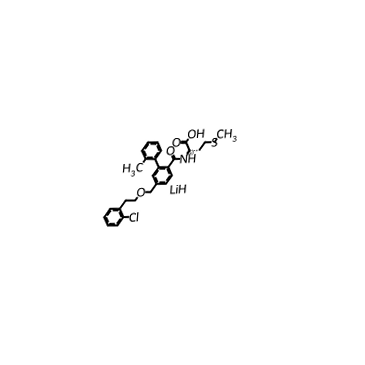 CSCC[C@H](NC(=O)c1ccc(COCCc2ccccc2Cl)cc1-c1ccccc1C)C(=O)O.[LiH]